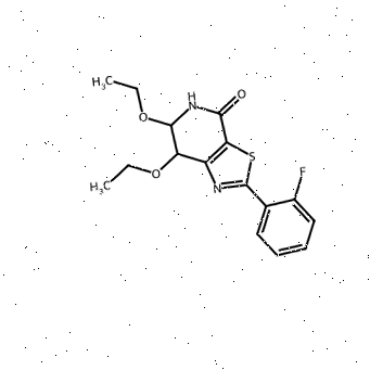 CCOC1NC(=O)c2sc(-c3ccccc3F)nc2C1OCC